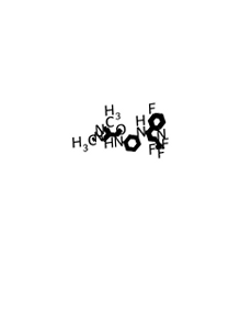 Cc1nn(C)cc1C(=O)N[C@@H]1CCC[C@H](Nc2cc(C(F)(F)F)nc3ccc(F)cc23)C1